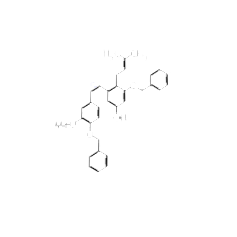 COc1cc(/C=C\c2cc(O)cc(OCc3ccccc3)c2CC=C(C)C)ccc1OCc1ccccc1